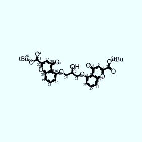 CC(C)(C)OC(=O)c1cc(=O)c2c(OCC(O)COc3cccc4oc(C(=O)OC(C)(C)C)cc(=O)c34)cccc2o1